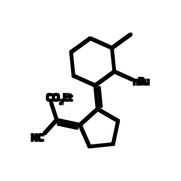 CCCCC1C(=C2CCCC2=C(C#N)C(=O)OCC)CCCC1C